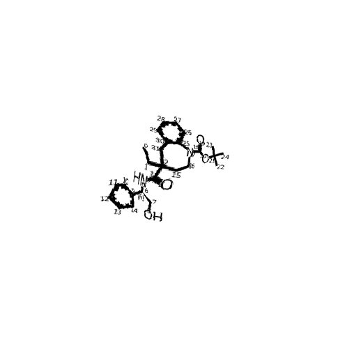 CCC1(C(=O)N[C@@H](CO)c2ccccc2)CCN(C(=O)OC(C)(C)C)c2ccccc2C1